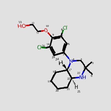 CC1(C)CN(c2cc(Cl)c(OCCO)c(Cl)c2)[C@H]2CCCC[C@@H]2N1